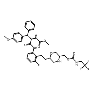 COC(=O)NC(C(=O)Nc1cccc(F)c1CC[C@@H]1CN[C@H](COC(=O)NCC(F)(F)F)CO1)[C@H](c1ccccc1)c1ccc(OC)cc1